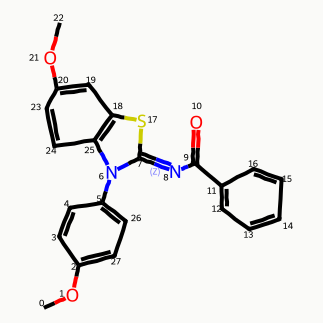 COc1ccc(-n2/c(=N/C(=O)c3ccccc3)sc3cc(OC)ccc32)cc1